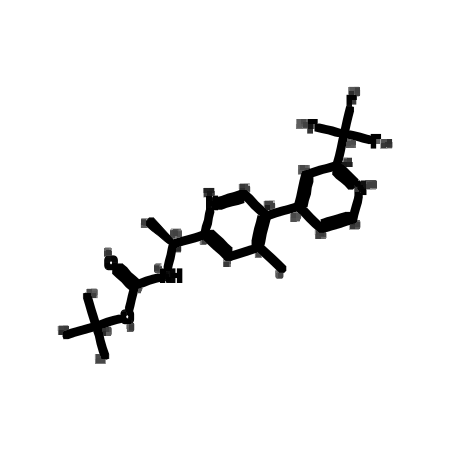 Cc1cc([C@H](C)NC(=O)OC(C)(C)C)ncc1-c1ccnc(C(F)(F)F)c1